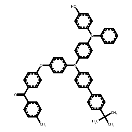 Cc1ccc(C(=O)c2ccc(Oc3ccc(N(c4ccc(-c5ccc(C(C)(C)C)cc5)cc4)c4ccc(N(c5ccccc5)c5ccc(O)cc5)cc4)cc3)cc2)cc1